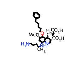 COc1cc(NC(C)CCCN)c2nccc(C)c2c1OCCCCCc1ccccc1.O=C(O)C=CC(=O)O